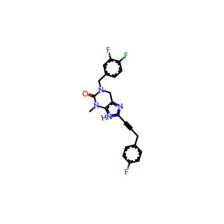 CN1C(=O)N(Cc2ccc(F)c(F)c2)Cc2nc(C#CCc3ccc(F)cc3)[nH]c21